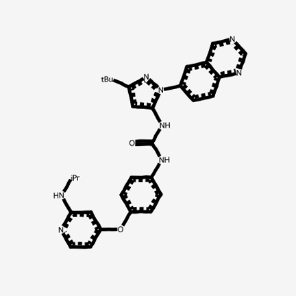 CC(C)Nc1cc(Oc2ccc(NC(=O)Nc3cc(C(C)(C)C)nn3-c3ccc4ncncc4c3)cc2)ccn1